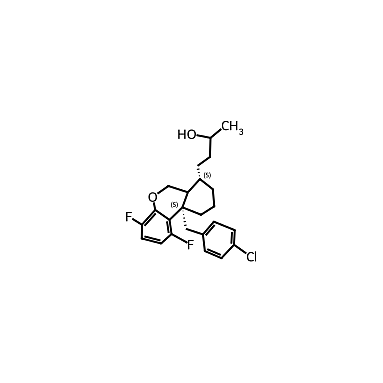 CC(O)CC[C@@H]1CCC[C@@]2(Cc3ccc(Cl)cc3)c3c(F)ccc(F)c3OCC12